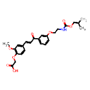 COc1cc(C=CC(=O)c2cccc(OCCNC(=O)OCC(C)C)c2)ccc1OCC(=O)O